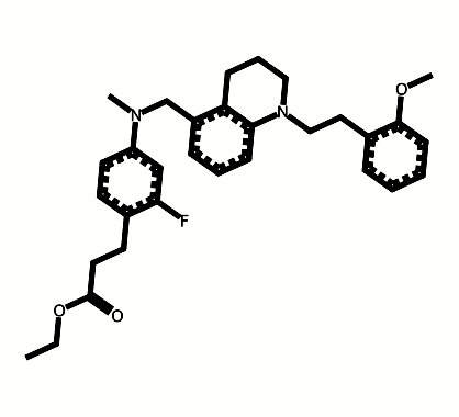 CCOC(=O)CCc1ccc(N(C)Cc2cccc3c2CCCN3CCc2ccccc2OC)cc1F